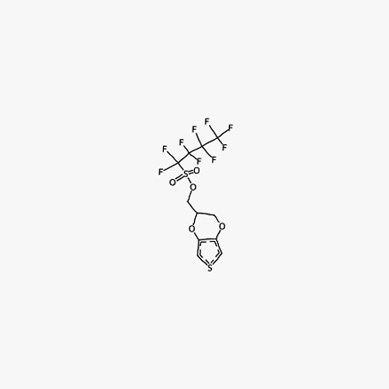 O=S(=O)(OCC1COc2cscc2O1)C(F)(F)C(F)(F)C(F)(F)C(F)(F)F